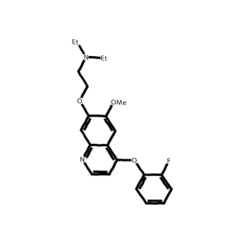 CCN(CC)CCOc1cc2nccc(Oc3ccccc3F)c2cc1OC